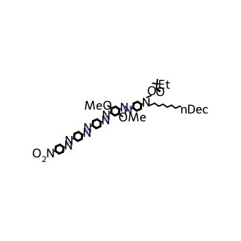 CCCCCCCCCCCCCCCCCCN(CCOC(=O)C(C)(C)CC)c1ccc(/N=N/c2cc(OC)c(/N=N/c3ccc(/N=N/c4ccc(/N=N/c5ccc([N+](=O)[O-])cc5)cc4)cc3)cc2OC)cc1